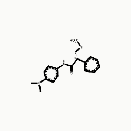 CN(C)c1ccc(NC(=O)[C@H](CNC(=O)O)c2ccccc2)cc1